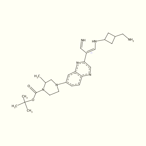 CC1CN(c2ccc3ncc(/C(C=N)=C/NC4CC(CN)C4)nc3c2)CCN1C(=O)OC(C)(C)C